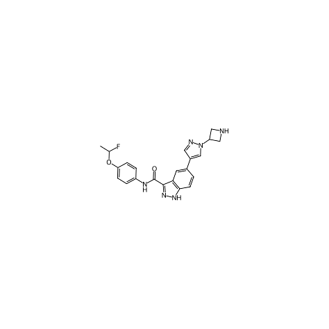 CC(F)Oc1ccc(NC(=O)c2n[nH]c3ccc(-c4cnn(C5CNC5)c4)cc23)cc1